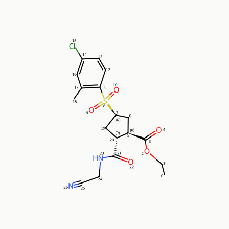 CCOC(=O)[C@@H]1C[C@H](S(=O)(=O)c2ccc(Cl)cc2C)C[C@H]1C(=O)NCC#N